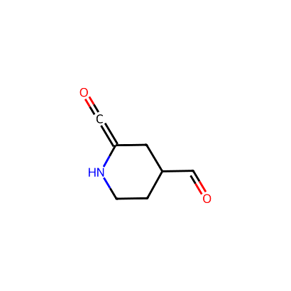 O=C=C1CC(C=O)CCN1